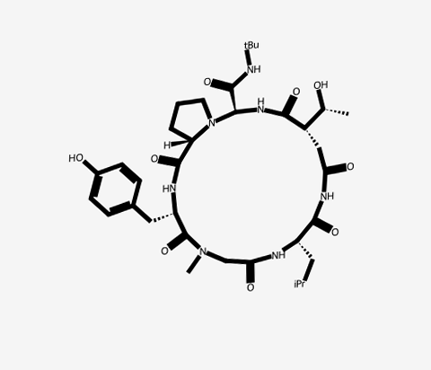 CC(C)C[C@@H]1NC(=O)CN(C)C(=O)[C@H](Cc2ccc(O)cc2)NC(=O)[C@@H]2CCCN2[C@@H](C(=O)NC(C)(C)C)NC(=O)[C@H]([C@@H](C)O)CC(=O)NC1=O